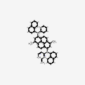 C=C/N=C(\C=C/C)N(c1cccc2ccccc12)c1cc(C)c2ccc3c(N(c4ccccn4)c4cccc5ccccc45)cc(C)c4ccc1c2c43